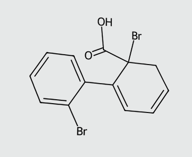 O=C(O)C1(Br)CC=CC=C1c1ccccc1Br